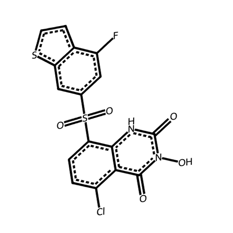 O=c1[nH]c2c(S(=O)(=O)c3cc(F)c4ccsc4c3)ccc(Cl)c2c(=O)n1O